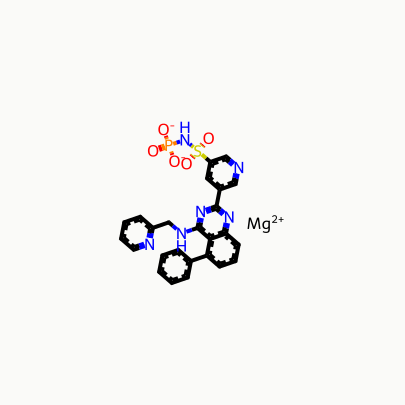 O=P([O-])([O-])NS(=O)(=O)c1cncc(-c2nc(NCc3ccccn3)c3c(-c4ccccc4)cccc3n2)c1.[Mg+2]